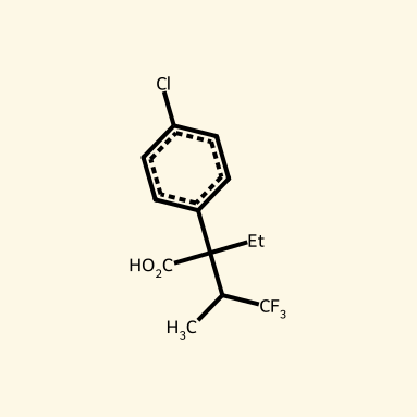 CCC(C(=O)O)(c1ccc(Cl)cc1)C(C)C(F)(F)F